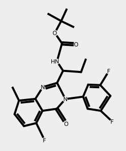 CCC(NC(=O)OC(C)(C)C)c1nc2c(C)ccc(F)c2c(=O)n1-c1cc(F)cc(F)c1